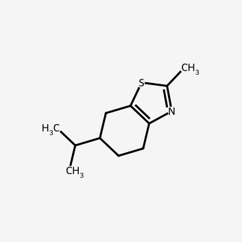 Cc1nc2c(s1)CC(C(C)C)CC2